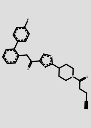 C#CCCC(=O)N1CCC(c2nc(C(=O)Cc3ccccc3-c3ccc(F)cc3)cs2)CC1